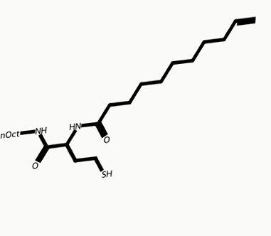 C=CCCCCCCCCC(=O)NC(CCS)C(=O)NCCCCCCCC